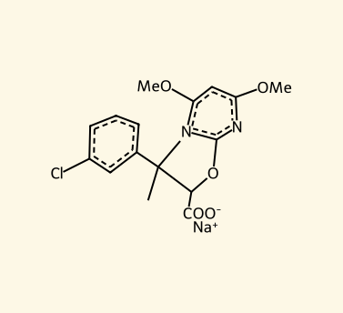 COc1cc(OC)nc(OC(C(=O)[O-])C(C)(C)c2cccc(Cl)c2)n1.[Na+]